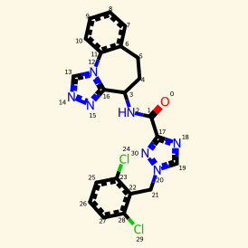 O=C(NC1CCc2ccccc2-n2cnnc21)c1ncn(Cc2c(Cl)cccc2Cl)n1